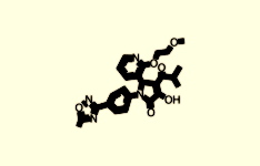 COCCOc1ncccc1C1C(C(=O)C(C)C)=C(O)C(=O)N1c1ccc(-c2noc(C)n2)cc1